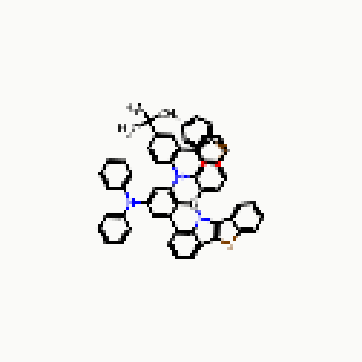 CC(C)(C)c1ccc(N2c3cc(N(c4ccccc4)c4ccccc4)cc4c3B(c3ccc5sc6ccccc6c5c32)n2c3c-4cccc3c3sc4ccccc4c32)c(-c2ccccc2)c1